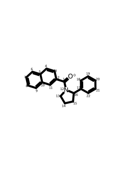 O=C(c1[c]cc2ccccc2c1)N1CCCC1c1ccccc1